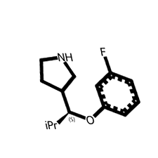 CC(C)[C@H](Oc1cccc(F)c1)C1CCNC1